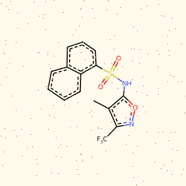 Cc1c(C(F)(F)F)noc1NS(=O)(=O)c1cccc2ccccc12